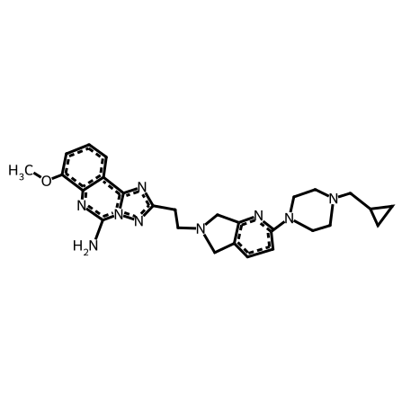 COc1cccc2c1nc(N)n1nc(CCN3Cc4ccc(N5CCN(CC6CC6)CC5)nc4C3)nc21